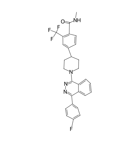 CNC(=O)c1ccc(C2CCN(c3nnc(-c4ccc(F)cc4)c4ccccc34)CC2)cc1C(F)(F)F